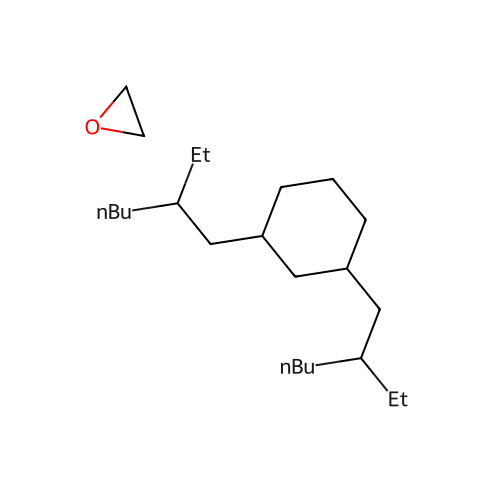 C1CO1.CCCCC(CC)CC1CCCC(CC(CC)CCCC)C1